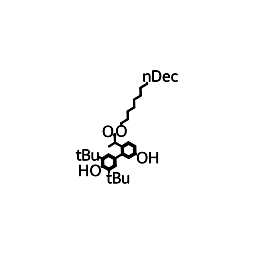 CCCCCCCCCCCCCCCCCCOC(=O)C(C)c1ccc(O)cc1-c1cc(C(C)(C)C)c(O)c(C(C)(C)C)c1